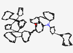 c1ccc(-c2ccc(N(c3ccc(-c4ccc5c(c4)C4(c6ccccc6-5)c5ccccc5C(c5ccccc5)(c5ccccc5)c5ccccc54)cc3)c3ccccc3-c3ccccc3)cc2)cc1